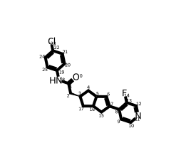 O=C(C[C@H]1CC2C=C(c3ccncc3F)CC2C1)Nc1ccc(Cl)cc1